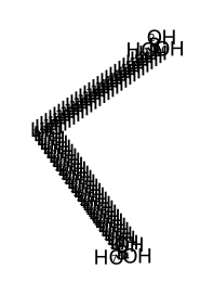 OB(O)O.OB(O)O.[LiH].[LiH].[LiH].[LiH].[LiH].[LiH].[LiH].[LiH].[LiH].[LiH].[LiH].[LiH].[LiH].[LiH].[LiH].[LiH].[LiH].[LiH].[LiH].[LiH].[LiH].[LiH].[LiH].[LiH].[LiH].[LiH].[LiH].[LiH].[LiH].[LiH].[LiH].[LiH].[LiH].[LiH].[LiH].[LiH].[LiH].[LiH].[LiH].[LiH].[LiH].[LiH].[LiH].[LiH].[LiH].[LiH].[LiH].[LiH].[LiH].[LiH].[LiH].[LiH]